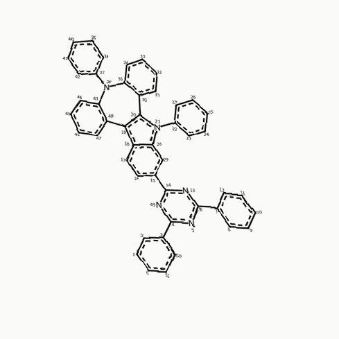 c1ccc(-c2nc(-c3ccccc3)nc(-c3ccc4c5c(n(-c6ccccc6)c4c3)-c3ccccc3N(c3ccccc3)c3ccccc3-5)n2)cc1